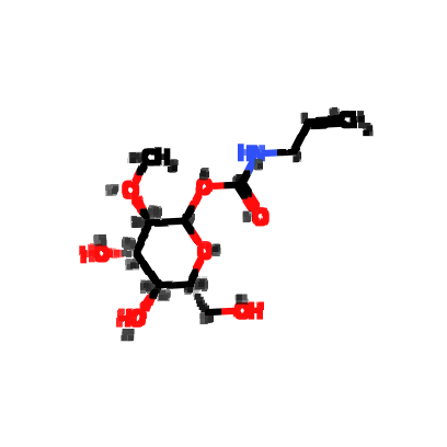 C=CCNC(=O)OC1O[C@H](CO)[C@@H](O)[C@H](O)[C@H]1OC